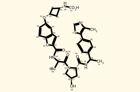 Cc1ncsc1-c1ccc(C(C)NC(=O)[C@@H]2C[C@@H](O)CN2C(=O)C(NC(=O)c2cc3cc(O[C@H]4C[C@@H](NC(=O)O)C4)ccc3o2)C(C)(C)C)cc1